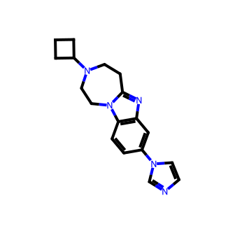 c1cn(-c2ccc3c(c2)nc2n3CCN(C3CCC3)CC2)cn1